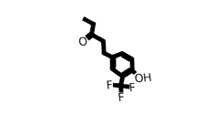 CCC(=O)CCc1ccc(O)c(C(F)(F)F)c1